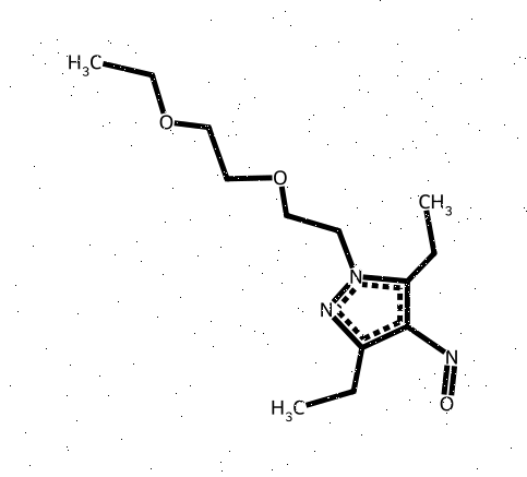 CCOCCOCCn1nc(CC)c(N=O)c1CC